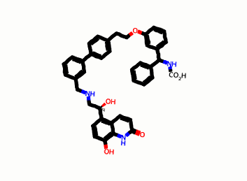 O=C(O)NC(c1ccccc1)c1cccc(OCCc2ccc(-c3cccc(CNC[C@@H](O)c4ccc(O)c5[nH]c(=O)ccc45)c3)cc2)c1